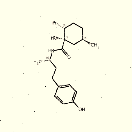 CC(C)[C@@H]1CC[C@@H](C)C[C@@]1(O)C(=O)N[C@@H](C)CCc1ccc(O)cc1